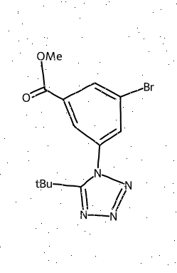 COC(=O)c1cc(Br)cc(-n2nnnc2C(C)(C)C)c1